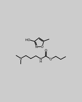 CCCOC(=O)NCCCN(C)C.Cc1cc(O)no1